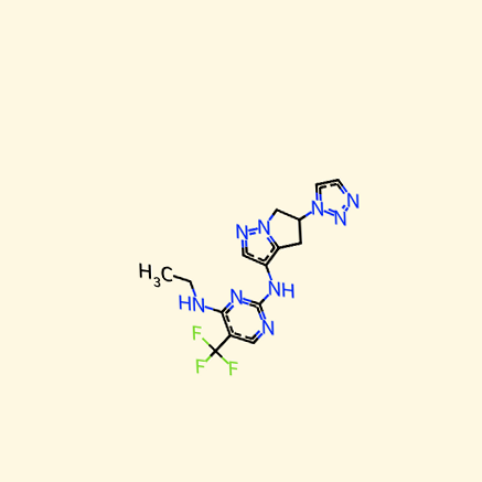 CCNc1nc(Nc2cnn3c2CC(n2ccnn2)C3)ncc1C(F)(F)F